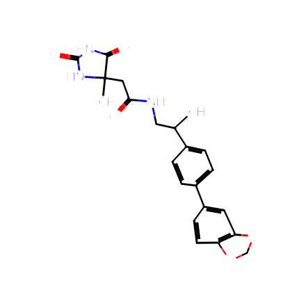 CC(CNC(=O)CC1(C)NC(=O)NC1=O)c1ccc(-c2ccc3c(c2)OCO3)cc1